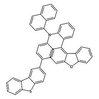 c1ccc(N(c2ccc(-c3ccc4sc5ccccc5c4c3)cc2)c2cccc3ccccc23)c(-c2cccc3oc4ccccc4c23)c1